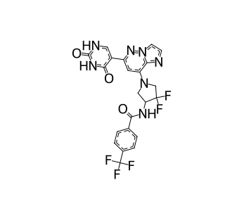 O=C(NC1CN(c2cc(-c3c[nH]c(=O)[nH]c3=O)nn3ccnc23)CC1(F)F)c1ccc(C(F)(F)F)cc1